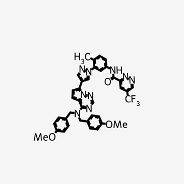 COc1ccc(CN(Cc2ccc(OC)cc2)c2ncnn3c(-c4cnn(-c5cc(NC(=O)c6cc(C(F)(F)F)cnn6)ccc5C)c4)ccc23)cc1